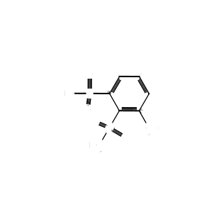 O=S(=O)(O)c1cccc(O)c1S(=O)(=O)O